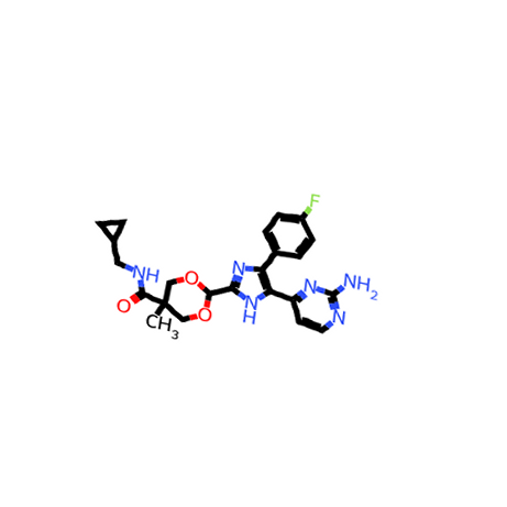 CC1(C(=O)NCC2CC2)COC(c2nc(-c3ccc(F)cc3)c(-c3ccnc(N)n3)[nH]2)OC1